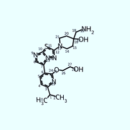 CC(C)c1ccc(-c2cnc3sc(N4CCC(O)(CN)CC4)nn23)c(OCCO)n1